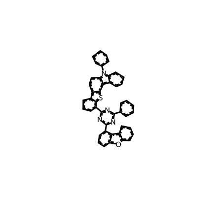 c1ccc(-c2nc(-c3cccc4c3sc3c4ccc4c3c3ccccc3n4-c3ccccc3)nc(-c3cccc4oc5ccccc5c34)n2)cc1